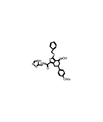 COc1ccc(C2C/C(=N\O)c3c(SCc4ccccc4)sc(C(=O)NCc4nnc[nH]4)c3C2)cc1